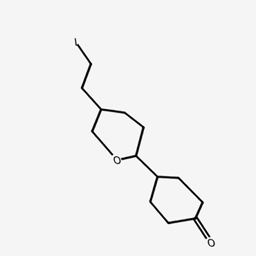 O=C1CCC(C2CCC(CCI)CO2)CC1